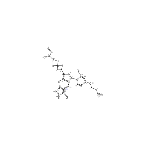 C=CC(=O)N1CC2(CC(n3nc(-c4ccc(OCCOC)cc4F)c(/C=c4\cn[nH]c4=C)c3C)C2)C1